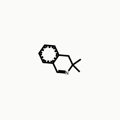 CC1(C)Cc2ccccc2C=N1